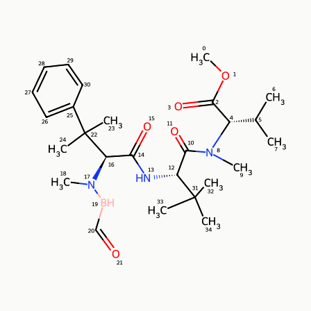 COC(=O)[C@H](C(C)C)N(C)C(=O)[C@@H](NC(=O)[C@@H](N(C)BC=O)C(C)(C)c1ccccc1)C(C)(C)C